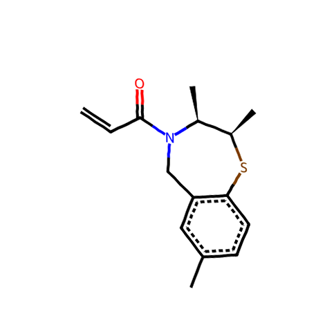 C=CC(=O)N1Cc2cc(C)ccc2S[C@H](C)[C@@H]1C